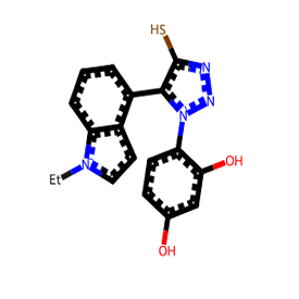 CCn1ccc2c(-c3c(S)nnn3-c3ccc(O)cc3O)cccc21